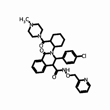 CN1CCN(C(=O)C2CCCCC2N2C(=O)c3ccccc3C(C(=O)NOCc3ccccn3)C2c2ccc(Cl)cc2)CC1